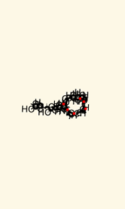 C=C1C2C[C@@H]3O[C@H]4C[C@H]5O[C@@]6(C[C@H](O)[C@H]([C@@H](C)C[C@@H]7C[C@H](C)[C@@H]8O[C@H](C)[C@H](O)CC8O7)O6)C[C@H]5O[C@H]4[C@H](C)[C@H]3OC(=O)C[C@H]3CC[C@@H]4OC5C6O[C@@H]7C[C@](CC[C@H]8CC(=C)[C@H](CC[C@@H](C[C@H]1C)O2)O8)(O[C@H]6[C@H]4O3)O[C@@H]57